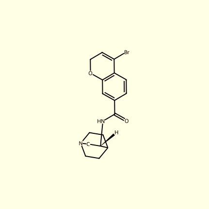 O=C(N[C@H]1CN2CCC1CC2)c1ccc2c(c1)OCC=C2Br